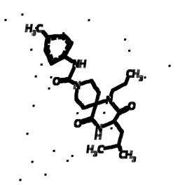 CCCN1C(=O)C(CC(C)C)NC(=O)C12CCN(C(=O)Nc1ccc(C)cc1)CC2